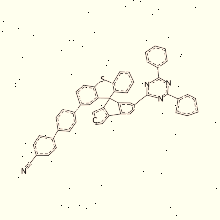 N#Cc1ccc(-c2ccc(-c3ccc4c(c3)C3(c5ccccc5S4)c4ccccc4-c4ccc(-c5nc(-c6ccccc6)nc(-c6ccccc6)n5)cc43)cc2)cc1